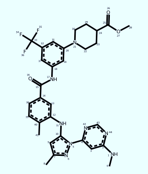 CNc1cc(-n2nc(C)cc2Nc2cc(C(=O)Nc3cc(N4CCC(C(=O)OC)CC4)cc(C(F)(F)F)c3)ccc2C)ncn1